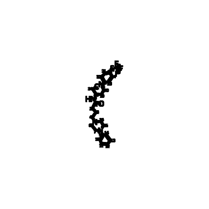 O=C(CCCN1CCN(c2ccccc2)CC1)NC1CCN(c2ccc(SC(F)(F)F)cc2)CC1